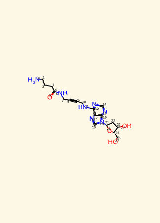 NCCCC(=O)NCC#CCNc1ncnc2c1ncn2[C@H]1CC(O)[C@@H](CO)O1